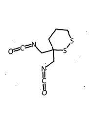 O=C=NCC1(CN=C=O)CCCSS1